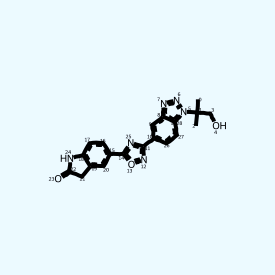 CC(C)(CO)n1nnc2cc(-c3noc(-c4ccc5c(c4)CC(=O)N5)n3)ccc21